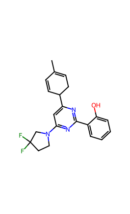 CC1=CCC(c2cc(N3CCC(F)(F)C3)nc(-c3ccccc3O)n2)C=C1